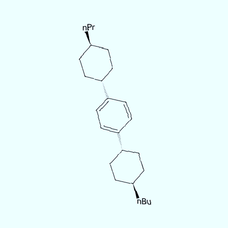 CCCC[C@H]1CC[C@H](c2ccc([C@H]3CC[C@H](CCC)CC3)cc2)CC1